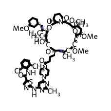 CO[C@@H]1CC[C@H]2O[C@@](O)(C(=O)C(=O)N3CCCC[C@H]3C(=O)O[C@H](/C(C)=C/[C@@H]3CCC[C@H](OC)C3)[C@H](C)[C@@H](O)CC(=O)[C@H](CCCC(=O)N3CCN(c4cc(Nc5ncc(C(=O)Nc6c(C)cccc6Cl)s5)nc(C)n4)CC3)/C=C(\C)C1)[C@H](C)C[C@@H]2OC